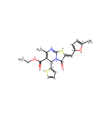 CCOC(=O)C1=C(C)N=c2s/c(=C\c3ccc(C)o3)c(=O)n2C1c1cccs1